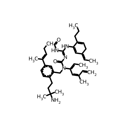 C=C/C(C)=C\C(=C/C)N(Cc1cc(/C(C)=C/CC)ccc1CCC(C)(C)N)C(=O)/N=C(\NC=O)NC1=C/C(=C/C)CC=C1CCC